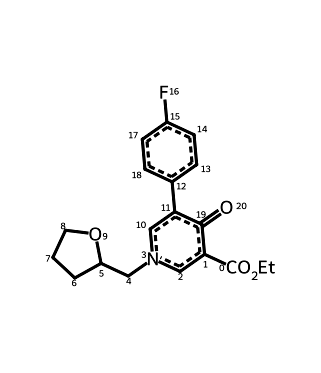 CCOC(=O)c1cn(CC2CCCO2)cc(-c2ccc(F)cc2)c1=O